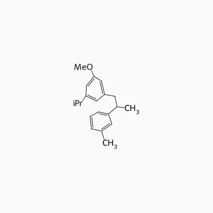 COc1cc(CC(C)c2cccc(C)c2)cc(C(C)C)c1